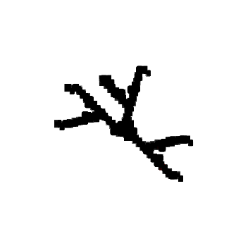 CCCCCCCOC(=O)CCCCCN(CCCCCCNC(=O)C12CC3CC(C(=O)NCCCCCCN(CCCCCC(=O)OCCCCCCC)CCCCCC(=O)OCCCCCCC)(C1)CC(C(=O)NCCCCCCN(CCCCCC(=O)OCCCCCCC)CCCCCC(=O)OCCCCCCC)(C3)C2)CCCCCC(=O)OCCCCCCC